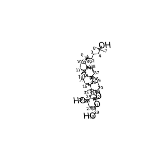 C[C@H](CCCC(C)(C)O)C1CC[C@@]2(C)C3CC=C4C(CC[C@H](O[C@H]5C[C@@H](O)C[C@@H](CO)O5)C4(C)C)[C@]3(C)C=C[C@]12C